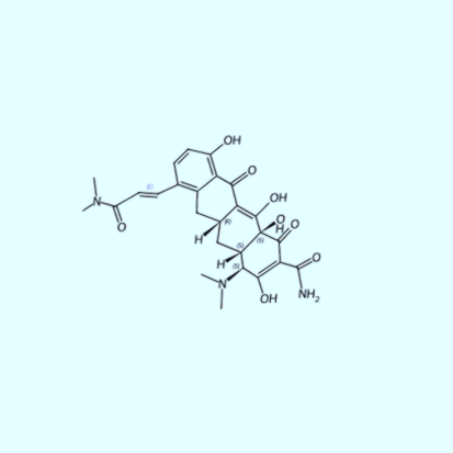 CN(C)C(=O)/C=C/c1ccc(O)c2c1C[C@H]1C[C@H]3[C@H](N(C)C)C(O)=C(C(N)=O)C(=O)[C@@]3(O)C(O)=C1C2=O